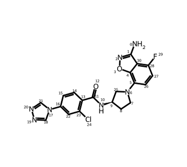 Nc1noc2c(N3CC[C@@H](NC(=O)c4ccc(-n5cnnc5)cc4Cl)C3)ccc(F)c12